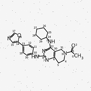 CC(=O)N1CCc2nc(Nc3ccc(-c4cnco4)cc3)nc(NC3CCCCC3)c2C1